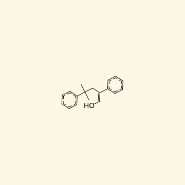 CC(C)(CC(=CO)c1ccccc1)c1ccccc1